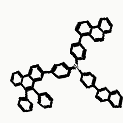 c1ccc(-c2c(-c3ccccc3)c3cc(-c4ccc(N(c5ccc(-c6ccc7ccccc7c6)cc5)c5ccc(-c6cccc7c6ccc6ccccc67)cc5)cc4)ccc3c3ccccc23)cc1